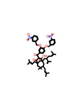 C=C(C)C(CC=C(C)C)CC12CC(CC=C(C)C)C(C)(C)CC(CC=C(C)C)(C(=O)C(C(=O)c3ccc(OCc4cccc([N+](=O)[O-])c4)c(OCc4cccc([N+](=O)[O-])c4)c3)=C1O)C2=O